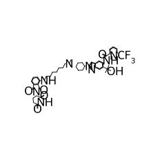 CN(CCCCCCCNc1cccc2c1C(=O)N(C1CCC(=O)NC1=O)C2=O)C[C@H]1CC[C@H](n2cc3cc(NC(=O)c4cccc(C(F)(F)F)n4)c(C(C)(C)O)cc3n2)CC1